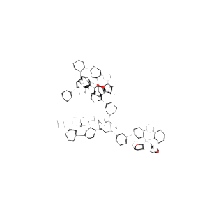 CC1(C)c2ccccc2-c2ccc(-c3cc(-c4cccc(-c5ccc6c(c5)C5(c7ccccc7O6)c6ccccc6-c6ccccc65)c4)nc(-c4cccc(-c5ccc6c(c5)C5(c7ccccc7Oc7ccc(-c8ccccc8-c8cc(-c9ccccc9)nc(-c9ccccc9)n8)cc75)c5ccccc5-6)c4)n3)cc21